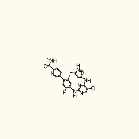 CNC(=O)c1ccc(-c2cc(F)c(Nc3ncc(Cl)c(Nc4cc(C)[nH]n4)n3)cc2C)cn1